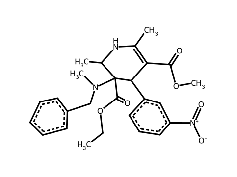 CCOC(=O)C1(N(C)Cc2ccccc2)C(C)NC(C)=C(C(=O)OC)C1c1cccc([N+](=O)[O-])c1